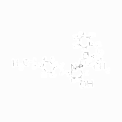 CCCc1ccc(CCc2cc(O)cc(OCC3(CC)CCc4ccccc4O3)n2)cc1